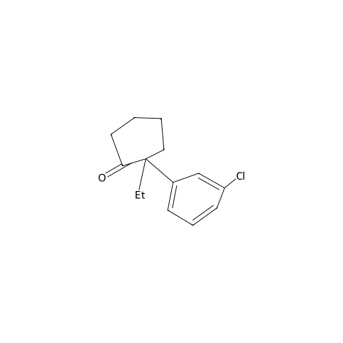 CCC1(c2cccc(Cl)c2)CCCCC1=O